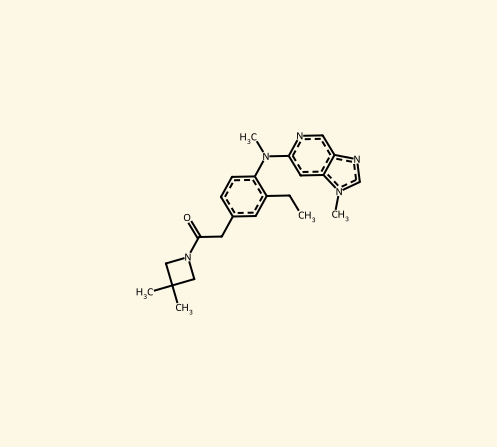 CCc1cc(CC(=O)N2CC(C)(C)C2)ccc1N(C)c1cc2c(cn1)ncn2C